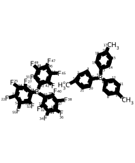 Cc1ccc(B(c2ccc(C)cc2)c2ccc(C)cc2)cc1.Fc1c(F)c(F)c(B(c2c(F)c(F)c(F)c(F)c2F)c2c(F)c(F)c(F)c(F)c2F)c(F)c1F